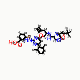 Cc1cccc(C)c1-c1cc(OCC(CC23CC(C2)C3)NCc2cnc3oc(C(C)(C)C)cc3n2)nc(NSc2cccc(C(=O)O)c2)n1